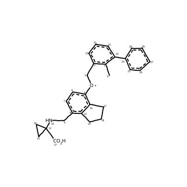 Cc1c(COc2ccc(CNC3(C(=O)O)CC3)c3c2CCC3)cccc1-c1ccccc1